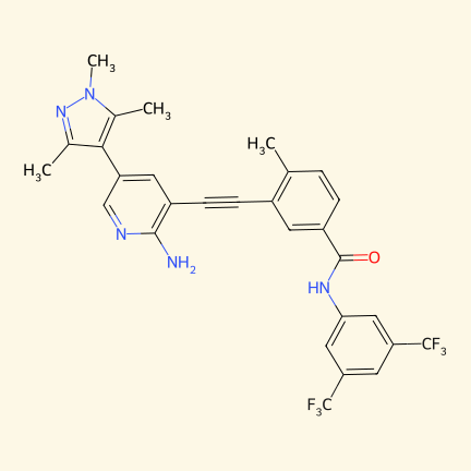 Cc1ccc(C(=O)Nc2cc(C(F)(F)F)cc(C(F)(F)F)c2)cc1C#Cc1cc(-c2c(C)nn(C)c2C)cnc1N